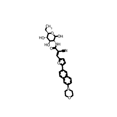 CC[C@H]1OC(O)[C@H](NC(=O)/C(C#N)=C/c2ccc(-c3ccc4cc(N5CCOCC5)ccc4c3)o2)[C@@H](O)[C@@H]1O